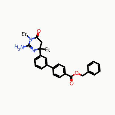 CCN1C(=O)CC(CC)(c2cccc(-c3ccc(C(=O)OCc4ccccc4)cc3)c2)N=C1N